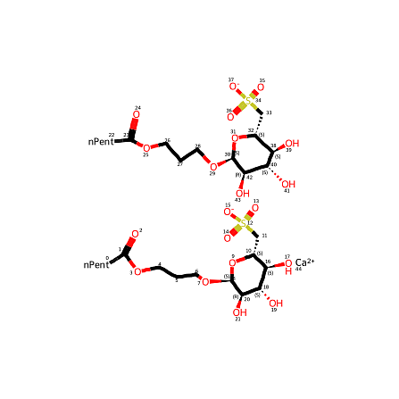 CCCCCC(=O)OCCCO[C@H]1O[C@H](CS(=O)(=O)[O-])[C@@H](O)[C@H](O)[C@H]1O.CCCCCC(=O)OCCCO[C@H]1O[C@H](CS(=O)(=O)[O-])[C@@H](O)[C@H](O)[C@H]1O.[Ca+2]